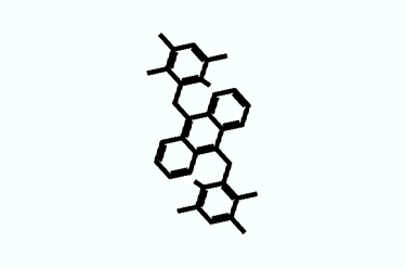 Cc1cc(C)c(C)c(Cc2c3ccccc3c(Cc3c(C)c(C)cc(C)c3C)c3ccccc23)c1C